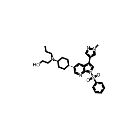 CCCN(CCO)[C@H]1CC[C@H](c2cnc3c(c2)c(-c2cnn(C)c2)cn3S(=O)(=O)c2ccccc2)CC1